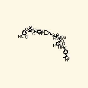 Cc1ncsc1-c1ccc([C@H](C)NC(=O)[C@@H]2C[C@@H](F)CN2C(=O)[C@@H](NC(=O)COCCN2CCN(c3ccc(C(=O)NC4C(C)(C)C(Oc5ccc(C#N)c(Cl)c5)C4(C)C)cn3)CC2)C(C)(C)C)cc1